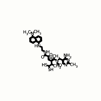 CC(=C(CC(O)C(=O)NCCNc1cccc2c(N(C)C)cccc12)C(C)C(S)S)N(C=O)Cc1cnc(C)nc1N